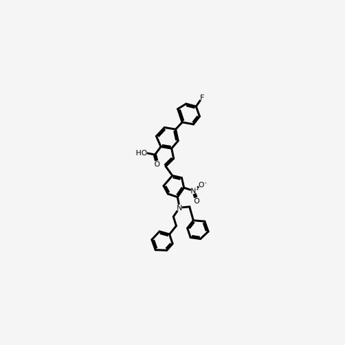 O=C(O)c1ccc(-c2ccc(F)cc2)cc1C=Cc1ccc(N(CCc2ccccc2)Cc2ccccc2)c([N+](=O)[O-])c1